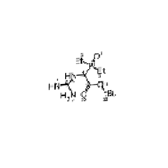 CCP(=O)(CC)C(NC(=N)N)C(=O)OC(C)(C)C